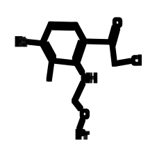 CCc1ccc(C(=O)CCl)c(NCOC(C)C)c1C